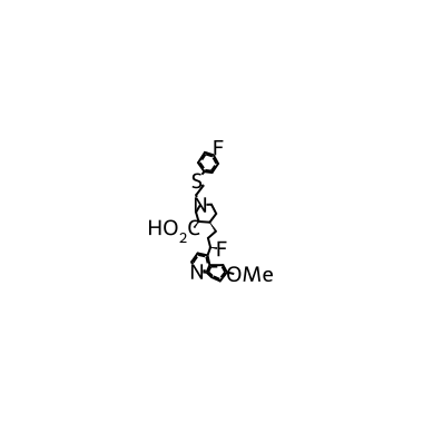 COc1ccc2nccc([C@H](F)CC[C@@H]3CCN(CCSc4ccc(F)cc4)C[C@@H]3C(=O)O)c2c1